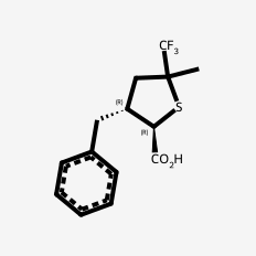 CC1(C(F)(F)F)C[C@@H](Cc2ccccc2)[C@H](C(=O)O)S1